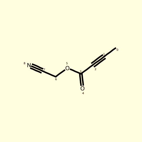 CC#CC(=O)OCC#N